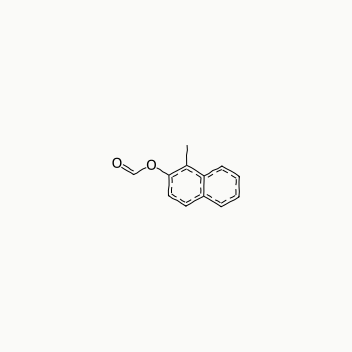 Cc1c(OC=O)ccc2ccccc12